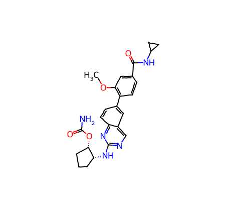 COc1cc(C(=O)NC2CC2)ccc1-c1ccc2nc(N[C@@H]3CCC[C@@H]3OC(N)=O)ncc2c1